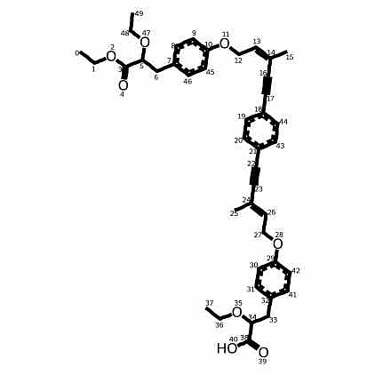 CCOC(=O)C(Cc1ccc(OCC=C(C)C#Cc2ccc(C#CC(C)=CCOc3ccc(CC(OCC)C(=O)O)cc3)cc2)cc1)OCC